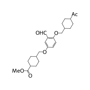 COC(=O)C1CCC(COc2ccc(OCC3CCC(C(C)=O)CC3)c(C=O)c2)CC1